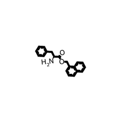 N[C@@H](Cc1ccccc1)C(=O)OCc1cccc2ccccc12